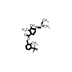 CCN(C)/C=N/c1ccc(C(=O)OCc2cccc(C(F)(F)F)c2C)c(C)c1C